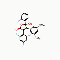 COc1cc(OC)cc(C2=C(c3c(F)cc(F)cc3F)C(=O)OC2(O)c2ccccc2F)c1